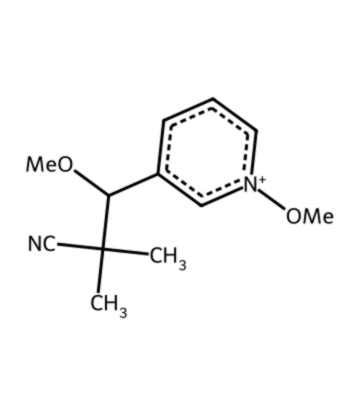 COC(c1ccc[n+](OC)c1)C(C)(C)C#N